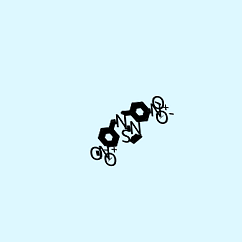 O=[N+]([O-])c1ccc(CN(Cc2ccc([N+](=O)[O-])cc2)c2nccs2)cc1